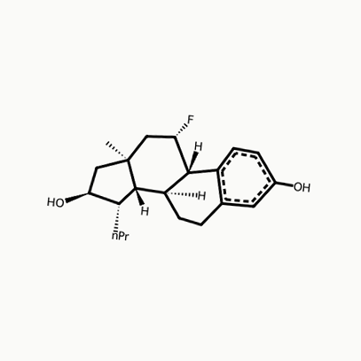 CCC[C@H]1[C@H]2[C@@H]3CCc4cc(O)ccc4[C@H]3[C@@H](F)C[C@]2(C)C[C@@H]1O